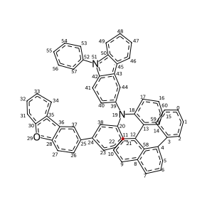 c1ccc(-c2cccc3cccc(-c4ccccc4N(c4cccc(-c5ccc6oc7ccccc7c6c5)c4)c4ccc5c(c4)c4ccccc4n5-c4ccccc4)c23)cc1